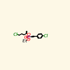 C=C(CCCCl)OP(=O)(C#Cc1ccc(Cl)cc1)OCC